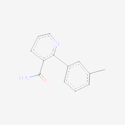 Cc1cccc(-c2ncccc2C(N)=O)c1